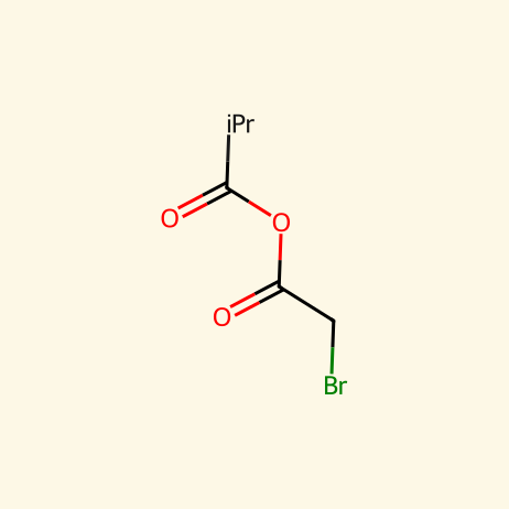 CC(C)C(=O)OC(=O)CBr